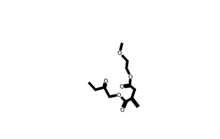 C=C(CC(=O)OCCOC)C(=O)OCC(=O)CC